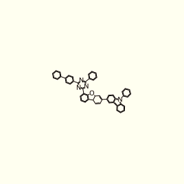 C1=CC2c3cccc(-c4nc(-c5ccccc5)nc(-c5ccc(-c6ccccc6)cc5)n4)c3OC2C=C1c1ccc2c(c1)c1ccccc1n2-c1ccccc1